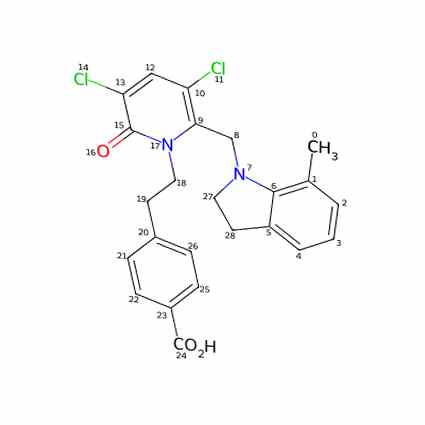 Cc1cccc2c1N(Cc1c(Cl)cc(Cl)c(=O)n1CCc1ccc(C(=O)O)cc1)CC2